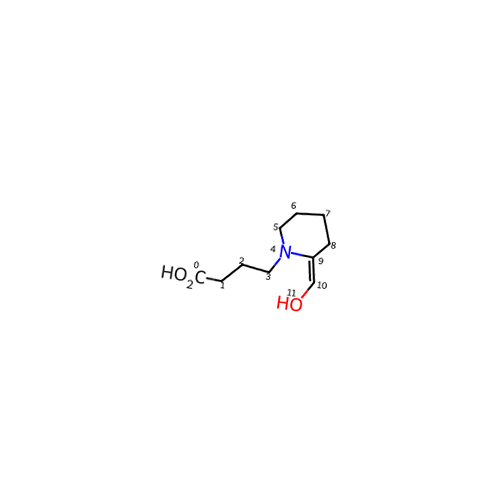 O=C(O)CCCN1CCCCC1=CO